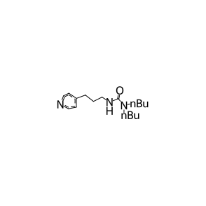 CCCCN(CCCC)C(=O)NCCCc1ccncc1